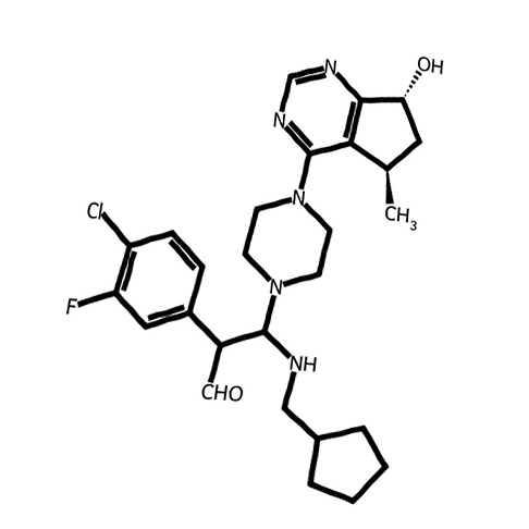 C[C@@H]1C[C@@H](O)c2ncnc(N3CCN(C(NCC4CCCC4)C(C=O)c4ccc(Cl)c(F)c4)CC3)c21